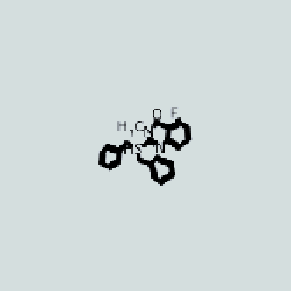 Cn1c([SH](Cc2ccccc2)Cc2ccccc2)nc2cccc(F)c2c1=O